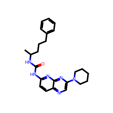 CC(CCCc1ccccc1)NC(=O)Nc1ccc2ncc(N3CCCCC3)nc2n1